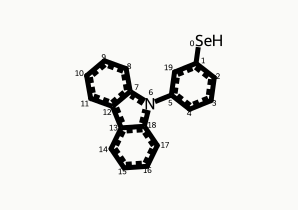 [SeH]c1cccc(-n2c3ccccc3c3ccccc32)c1